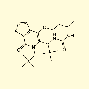 CCCCOc1c(C(NC(=O)O)C(C)(C)C)n(CC(C)(C)C)c(=O)c2sccc12